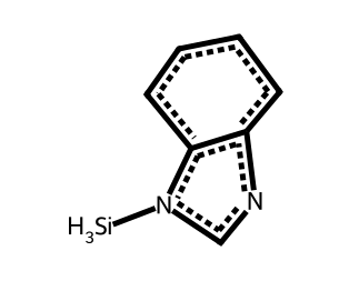 [SiH3]n1cnc2ccccc21